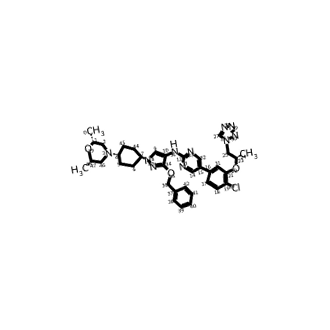 C[C@@H]1CN([C@H]2CC[C@H](n3cc(Nc4ncc(-c5ccc(Cl)c(O[C@@H](C)Cn6cnnn6)c5)cn4)c(OCc4ccccc4)n3)CC2)C[C@H](C)O1